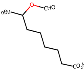 CCCCC(CCCCCC(=O)O)OC=O